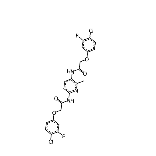 Cc1nc(NC(=O)COc2ccc(Cl)c(F)c2)ccc1NC(=O)COc1ccc(Cl)c(F)c1